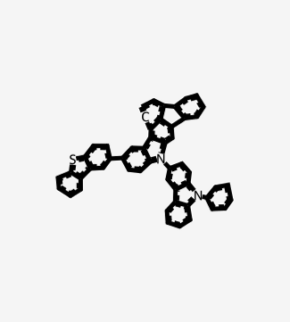 c1ccc(-n2c3ccccc3c3cc(-n4c5ccc(-c6ccc7sc8ccccc8c7c6)cc5c5c6cccc7c6c(cc54)-c4ccccc4-7)ccc32)cc1